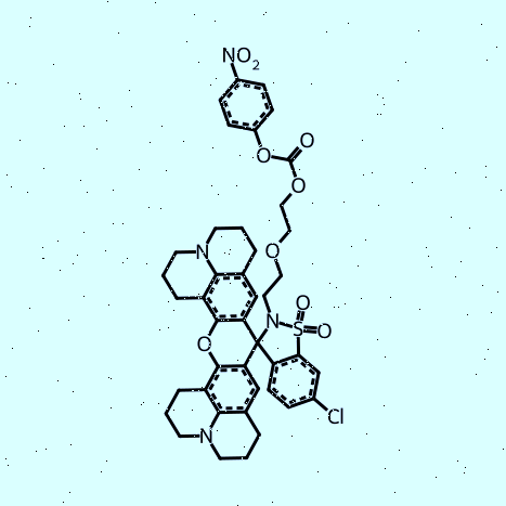 O=C(OCCOCCN1C2(c3ccc(Cl)cc3S1(=O)=O)c1cc3c4c(c1Oc1c2cc2c5c1CCCN5CCC2)CCCN4CCC3)Oc1ccc([N+](=O)[O-])cc1